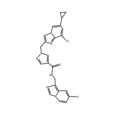 O=C(NCc1ncn2ccc(Cl)cc12)c1cnn(Cc2cn3cc(C4CC4)cc(C(F)(F)F)c3n2)c1